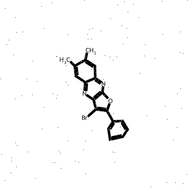 Cc1cc2nc3oc(-c4ccccc4)c(Br)c3nc2cc1C